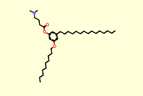 CCCCCCCCCCCCCCCc1cc(OCCCCCCCCCC)cc(OC(=O)CCCN(C)C)c1